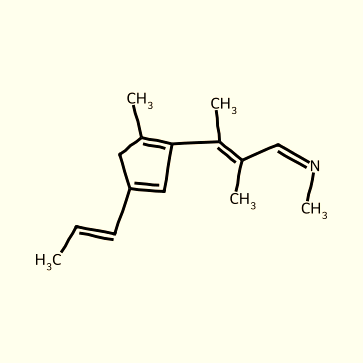 C/C=C/C1=CC(/C(C)=C(C)/C=N\C)=C(C)C1